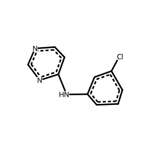 Clc1cccc(Nc2ccncn2)c1